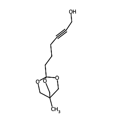 CC12COC(CCCC#CCO)(OC1)OC2